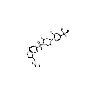 CCC1CN(c2ccc(C(F)(F)F)cc2F)CCN1S(=O)(=O)c1ccc2c(c1)C(COO)CC2